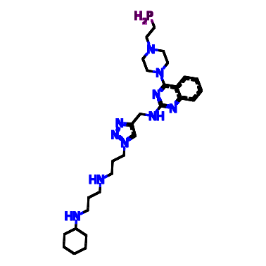 PCCN1CCN(c2nc(NCc3cn(CCCNCCCNC4CCCCC4)nn3)nc3ccccc23)CC1